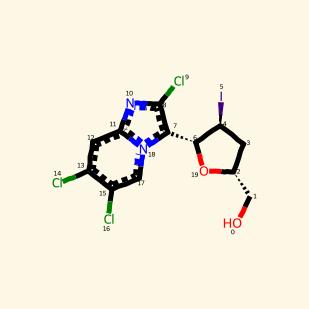 OC[C@H]1C[C@H](I)[C@@H](c2c(Cl)nc3cc(Cl)c(Cl)cn23)O1